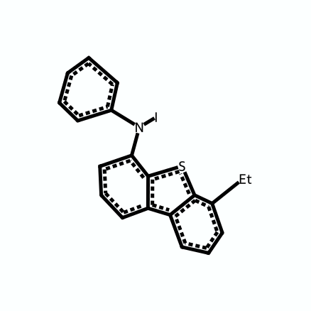 CCc1cccc2c1sc1c(N(I)c3ccccc3)cccc12